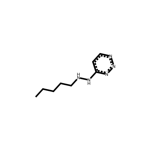 CCCCCNNc1ccnnn1